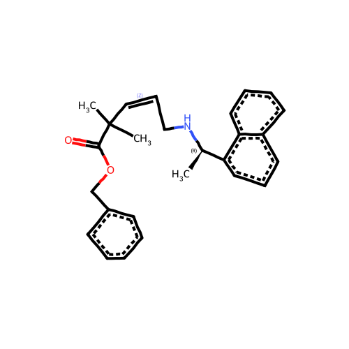 C[C@@H](NC/C=C\C(C)(C)C(=O)OCc1ccccc1)c1cccc2ccccc12